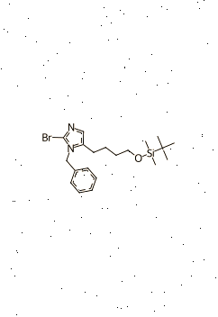 CC(C)(C)[Si](C)(C)OCCCCc1cnc(Br)n1Cc1ccccc1